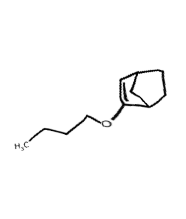 CCCCOC1=CC2CCC1C2